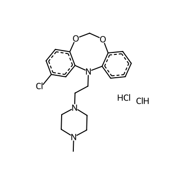 CN1CCN(CCN2c3ccccc3OCOc3ccc(Cl)cc32)CC1.Cl.Cl